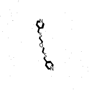 c1cc(CSCCOCCSCc2ccncc2)ccn1